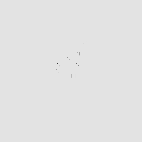 Cn1ncc2c(NCc3ccc(F)cc3)nc(N3CCOCC3)nc21